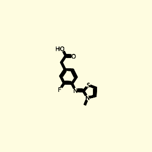 Cn1ccs/c1=N\c1ccc(CC(=O)O)cc1F